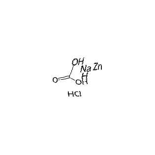 Cl.O=C(O)O.[NaH].[Zn]